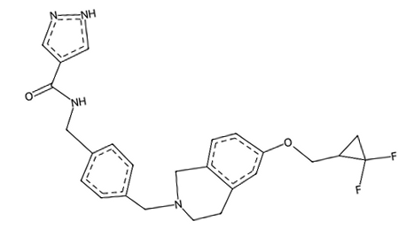 O=C(NCc1ccc(CN2CCc3cc(OCC4CC4(F)F)ccc3C2)cc1)c1cn[nH]c1